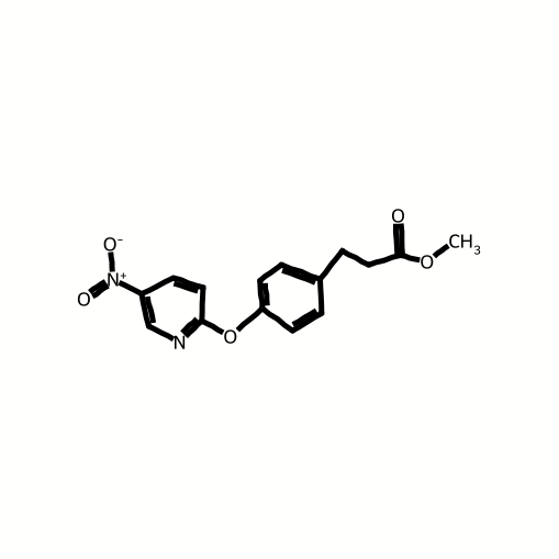 COC(=O)CCc1ccc(Oc2ccc([N+](=O)[O-])cn2)cc1